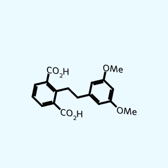 COc1cc(CCc2c(C(=O)O)cccc2C(=O)O)cc(OC)c1